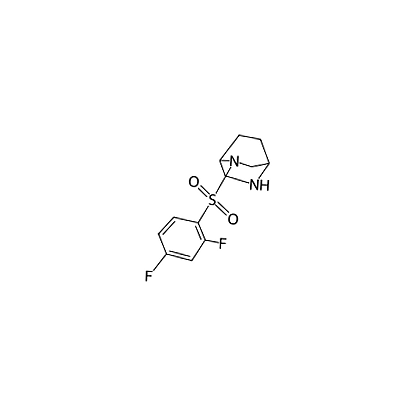 O=S(=O)(c1ccc(F)cc1F)N1CC2CCC1CN2